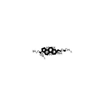 CCOCC[C@@]1(O)CC[C@@]2(C)[C@H](CC[C@@H]3[C@@H]2CC[C@]2(C)[C@@H](C(C)=O)CC[C@@H]32)C1